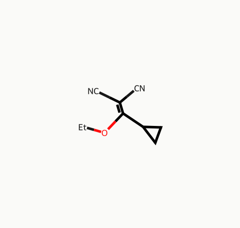 CCOC(=C(C#N)C#N)C1CC1